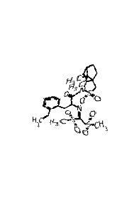 C=Cc1ccccc1CC(N=C(S(C)(=O)=O)S(C)(=O)=O)C(=O)N1C2CC3CCC2(CS1(=O)=O)C3(C)C